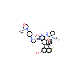 C#Cc1c(F)ccc2cc(O)cc([C@@H]3CCc4c(nc(OC[C@]5(C(C)(C)C)C[C@@H](F)CN5C5CCC(N6CCOC[C@@H]6C)CC5)nc4NCC4(N(C)C(=O)C=C)CCCC4)C3)c12